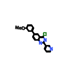 COC1C=CC=C(c2ccc3nc(-c4cccnc4)nc(Cl)c3c2)C1